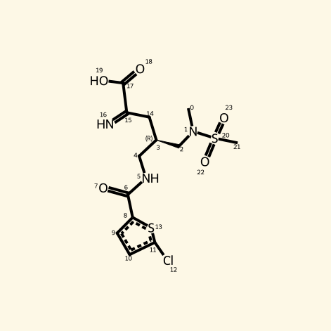 CN(C[C@@H](CNC(=O)c1ccc(Cl)s1)CC(=N)C(=O)O)S(C)(=O)=O